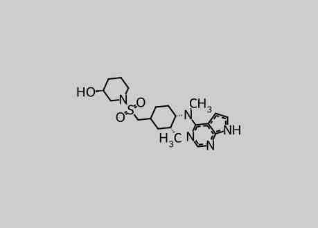 C[C@@H]1CC(CS(=O)(=O)N2CCC[C@H](O)C2)CC[C@@H]1N(C)c1ncnc2[nH]ccc12